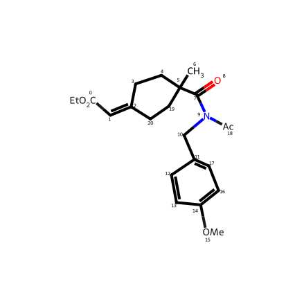 CCOC(=O)C=C1CCC(C)(C(=O)N(Cc2ccc(OC)cc2)C(C)=O)CC1